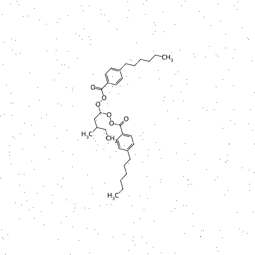 [CH2]CC(C)C[C](OOC(=O)c1ccc(CCCCCC)cc1)OOC(=O)c1ccc(CCCCCC)cc1